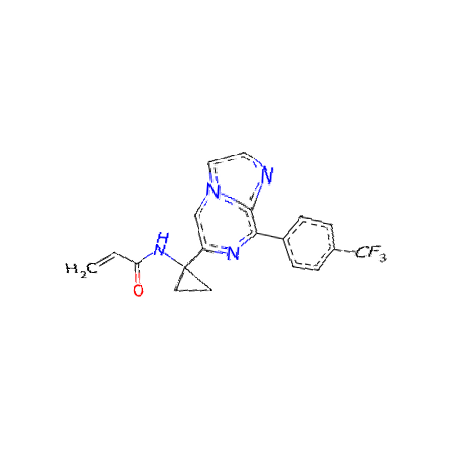 C=CC(=O)NC1(c2cn3ccnc3c(-c3ccc(C(F)(F)F)cc3)n2)CC1